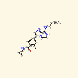 CC(=O)NCCNc1nccn2c(-c3ccc(C(=O)NC4CC4)c(C)c3)cnc12